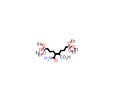 CCO[Si](CCC/C(C(N)=O)=C(\CCC[Si](OCC)(OCC)OCC)C(=O)O)(OCC)OCC